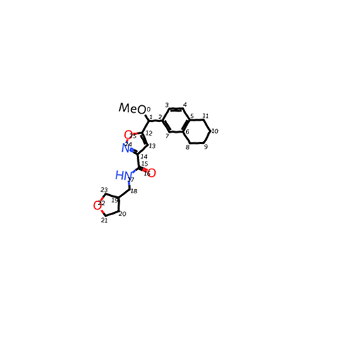 COC(c1ccc2c(c1)CCCC2)c1cc(C(=O)NCC2CCOC2)no1